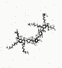 COc1cc(OC)c(C(=O)N[C@H]2CC[C@@H](NC(=O)c3cc(C(=O)NCCN(C)C)c(OCCCCCN)cc3OCCCCCN)CC2)cc1C(=O)N[C@H]1CC[C@@H](NC(=O)c2cc(C(=O)NCCN(C)C)c(OCCCCCN)cc2OCCCCCN)CC1